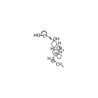 CC(=O)[C@H]1CC[C@H]2[C@@H]3CC[C@@H]4C[C@@](O)(C#Cc5cccc(O)c5)CC[C@]4(C)[C@H]3CC[C@]12C